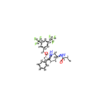 CCC(=O)N[C@H]1CC[C@@](COCc2cc(C(F)(F)F)cc(C(F)(F)F)c2)(c2ccccc2)NC1